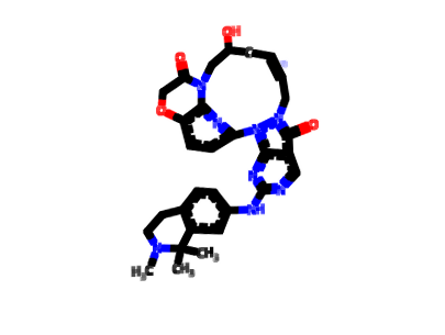 CN1CCc2ccc(Nc3ncc4c(=O)n5n(c4n3)-c3ccc4c(n3)N(CC(O)C/C=C\C5)C(=O)CO4)cc2C1(C)C